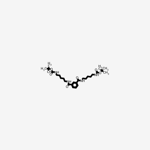 CC(C)(C)OC(=O)NCCCCCNC(=O)c1cccc(C(=O)NCCCCCNC(=O)OC(C)(C)C)c1